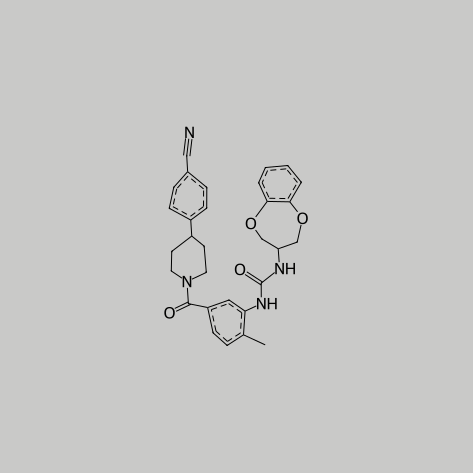 Cc1ccc(C(=O)N2CCC(c3ccc(C#N)cc3)CC2)cc1NC(=O)NC1COc2ccccc2OC1